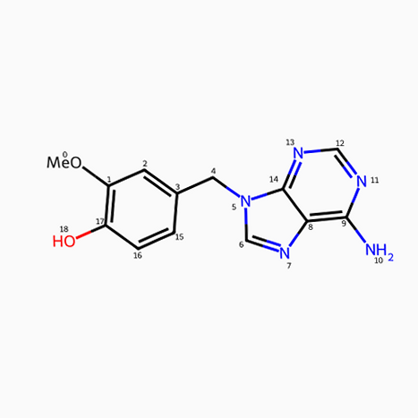 COc1cc(Cn2cnc3c(N)ncnc32)ccc1O